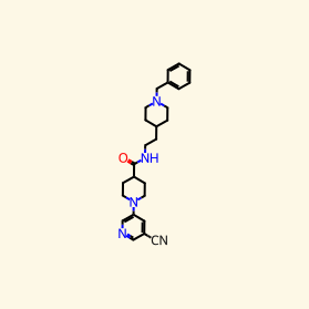 N#Cc1cncc(N2CCC(C(=O)NCCC3CCN(Cc4ccccc4)CC3)CC2)c1